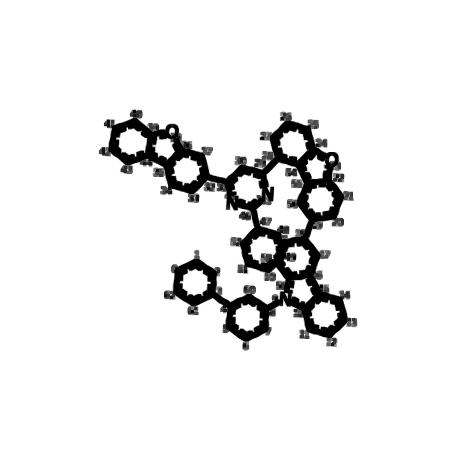 c1ccc(-c2cccc(-n3c4ccccc4c4cc(-c5ccc6oc7cccc(-c8cc(-c9ccc%10c(c9)oc9ccccc9%10)nc(-c9ccccc9)n8)c7c6c5)ccc43)c2)cc1